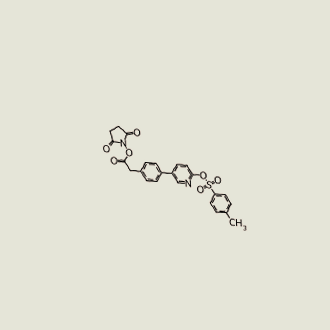 Cc1ccc(S(=O)(=O)Oc2ccc(-c3ccc(CC(=O)ON4C(=O)CCC4=O)cc3)cn2)cc1